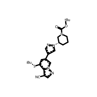 CC[C@@H](C)Sc1cc(-c2cnn([C@H]3CCCN(C(=O)OC(C)(C)C)C3)c2)cn2ncc(C#N)c12